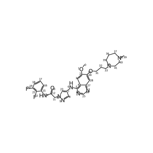 COc1cc2c(Nc3cnn(CC(=O)Nc4cccc(F)c4F)c3)ncnc2cc1OCCCN1CCCN(C)CC1